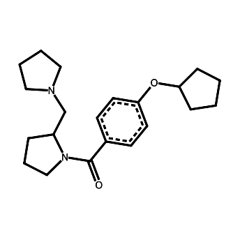 O=C(c1ccc(OC2CCCC2)cc1)N1CCCC1CN1CCCC1